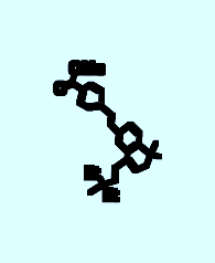 CCC(C)(C=CC1=CCC(C)(C)c2ccc(C=Cc3ccc(C(=O)OC)cc3)cc21)CC